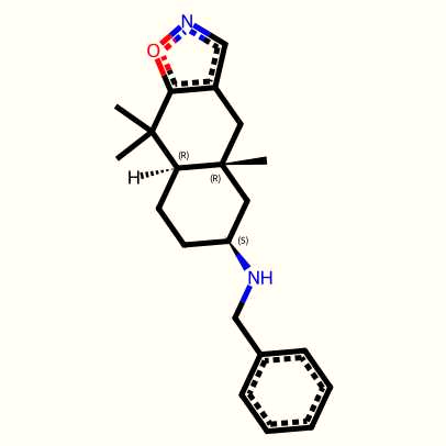 CC1(C)c2oncc2C[C@]2(C)C[C@@H](NCc3ccccc3)CC[C@@H]12